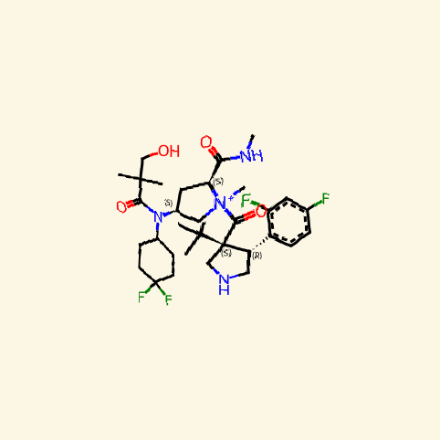 CNC(=O)[C@@H]1C[C@H](N(C(=O)C(C)(C)CO)C2CCC(F)(F)CC2)C[N+]1(C)C(=O)[C@@]1(C(C)(C)C)CNC[C@H]1c1ccc(F)cc1F